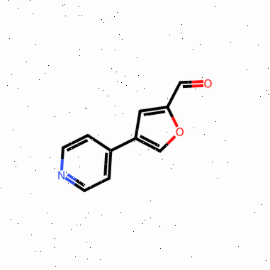 O=Cc1cc(-c2ccncc2)co1